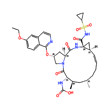 CCOc1ccc2c(O[C@@H]3C[C@H]4C(=O)N[C@]5(C(=O)NS(=O)(=O)C6CC6)C[C@H]5C=CCC[C@H](C)C[C@@H](C)[C@H](NC(=O)O)C(=O)N4C3)nccc2c1